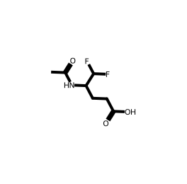 CC(=O)NC(CCC(=O)O)C(F)F